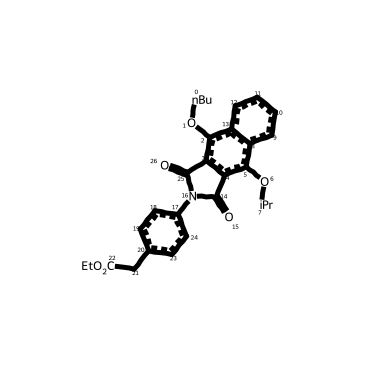 CCCCOc1c2c(c(OC(C)C)c3ccccc13)C(=O)N(c1ccc(CC(=O)OCC)cc1)C2=O